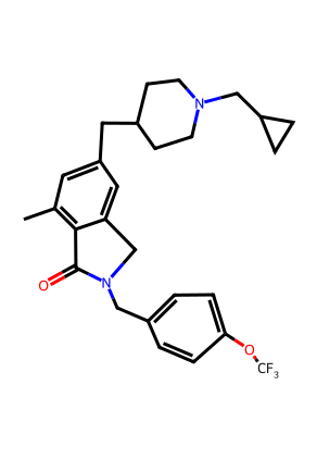 Cc1cc(CC2CCN(CC3CC3)CC2)cc2c1C(=O)N(Cc1ccc(OC(F)(F)F)cc1)C2